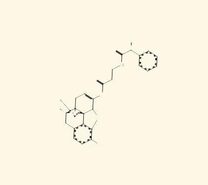 C[C@H](C(=O)NCCC(=O)OC1=CC[C@@]2(O)[C@H]3Cc4ccc(O)c5c4C2(CCN3C)C1O5)c1ccccc1